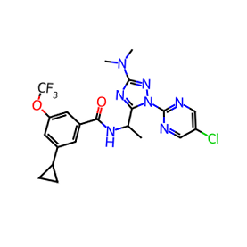 CC(NC(=O)c1cc(OC(F)(F)F)cc(C2CC2)c1)c1nc(N(C)C)nn1-c1ncc(Cl)cn1